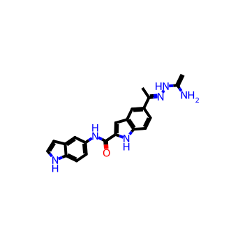 C=C(N)N/N=C(\C)c1ccc2[nH]c(C(=O)Nc3ccc4[nH]ccc4c3)cc2c1